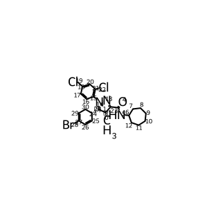 C[C@H]1C(C(=O)NC2CCCCCC2)=NN(c2ccc(Cl)cc2Cl)[C@H]1C1C=CC(Br)=CC1